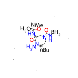 BNC(=O)N1CC[C@@H](CCCC)N(N)C(=O)[C@@H](NC(=O)[C@H](C)NC)C1